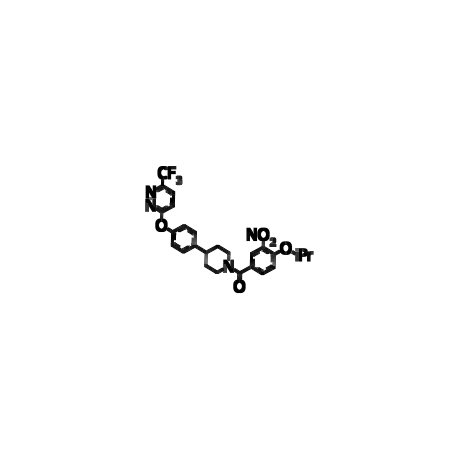 CC(C)Oc1ccc(C(=O)N2CCC(c3ccc(Oc4ccc(C(F)(F)F)nn4)cc3)CC2)cc1[N+](=O)[O-]